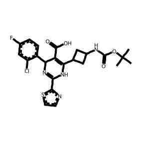 CC(C)(C)OC(=O)NC1CC(C2=C(C(=O)O)C(c3ccc(F)cc3Cl)N=C(c3nccs3)N2)C1